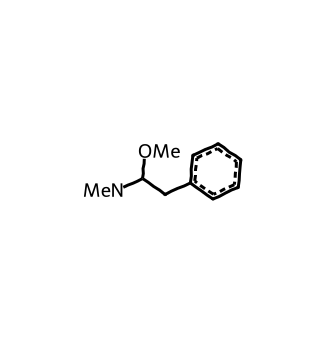 CNC(Cc1ccccc1)OC